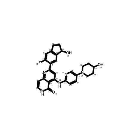 O=c1[nH]ccc2nc(-c3cc4c(cc3F)CCC4O)cc(Nc3ccc(N4CCC(O)CC4)cn3)c12